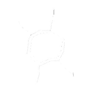 Cc1cc(C)c(I)cc1I